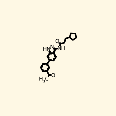 CC(=O)c1cccc(-c2ccc3c(NC(=O)CCC4CCCC4)n[nH]c3c2)c1